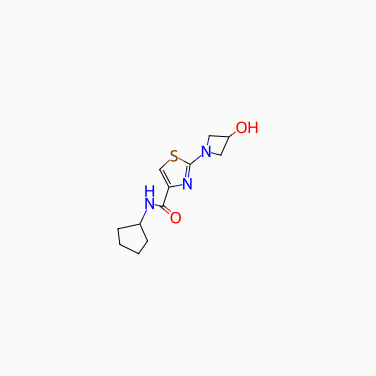 O=C(NC1CCCC1)c1csc(N2CC(O)C2)n1